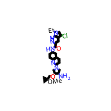 CCn1cc(Cl)c2cc(C(=O)NC3CCc4nc(N5CC(N)C(OCC6(OC)CC6)C5)ccc4C3)nnc21